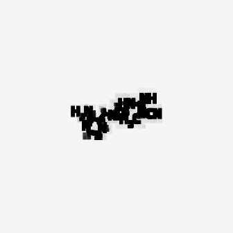 CN(C#N)C(=N)NCCNCc1nccnc1N